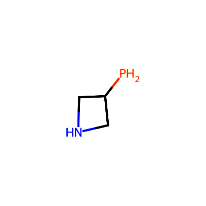 PC1CNC1